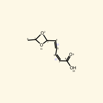 CC1OC(/C=C\C=C/C(=O)O)O1